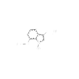 CCCCn1cc(C(=O)O)c2cccc(OC(F)(F)F)c21